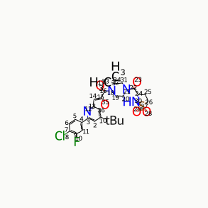 CC(C)(C)c1cc(-c2ccc(Cl)c(F)c2)nc2cc(C(=O)N3CCN(C(=O)[C@H]4CCS(=O)(=O)N4)CC3(C)C)oc12